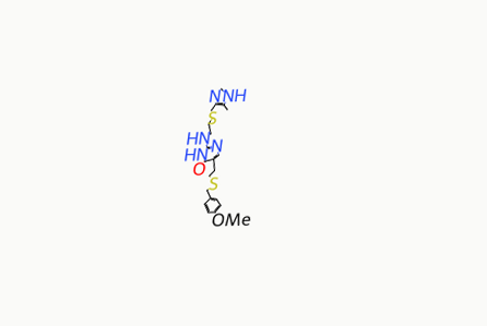 COc1ccc(CSCCc2cnc(NCCSCc3nc[nH]c3C)[nH]c2=O)cc1